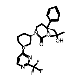 CC(C)(O)C[C@]1(c2ccccc2)CCN([C@H]2CCCN(c3ccnc(C(F)(F)F)n3)C2)C(=O)O1